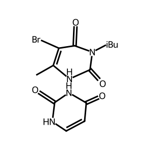 CCC(C)n1c(=O)[nH]c(C)c(Br)c1=O.O=c1cc[nH]c(=O)[nH]1